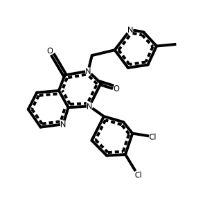 Cc1ccc(Cn2c(=O)c3cccnc3n(-c3ccc(Cl)c(Cl)c3)c2=O)nc1